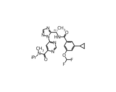 CC(C)N(C)C(=O)c1cc(-n2ncnc2[C@H](C)NC(=O)c2cc(OC(F)F)cc(C3CC3)c2)ncn1